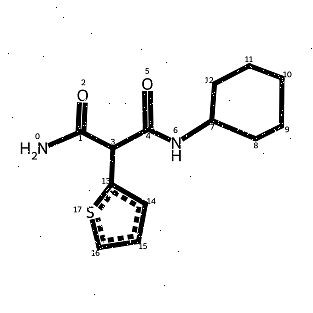 NC(=O)C(C(=O)NC1CCCCC1)c1cccs1